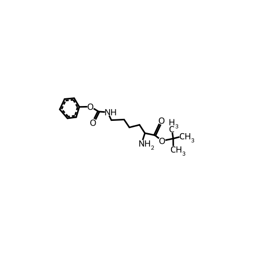 CC(C)(C)OC(=O)C(N)CCCCNC(=O)Oc1ccccc1